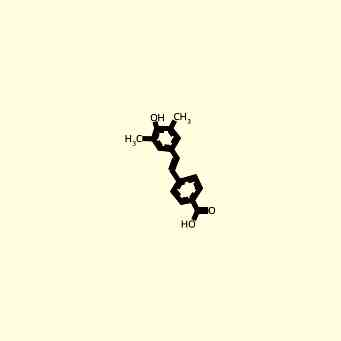 Cc1cc(C=Cc2ccc(C(=O)O)cc2)cc(C)c1O